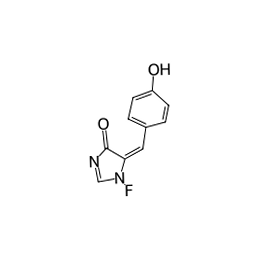 O=C1N=CN(F)C1=Cc1ccc(O)cc1